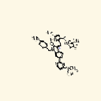 Cc1cc(C)c(/C=C2\C(=O)N(CC3CCC(N)CC3)c3cc(-c4nccc(N(C)C)n4)ccc32)[nH]1.O=C(O)C(F)(F)F